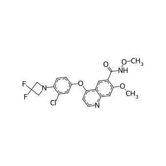 CONC(=O)c1cc2c(Oc3ccc(N4CC(F)(F)C4)c(Cl)c3)ccnc2cc1OC